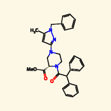 COC(=O)[C@@H]1CN(c2cc(C)n(Cc3ccccc3)n2)CCN1C(=O)C(c1ccccc1)c1ccccc1